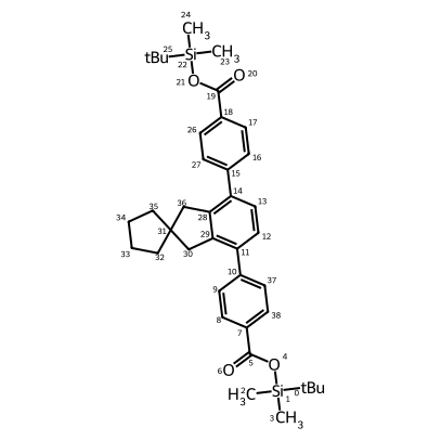 CC(C)(C)[Si](C)(C)OC(=O)c1ccc(-c2ccc(-c3ccc(C(=O)O[Si](C)(C)C(C)(C)C)cc3)c3c2CC2(CCCC2)C3)cc1